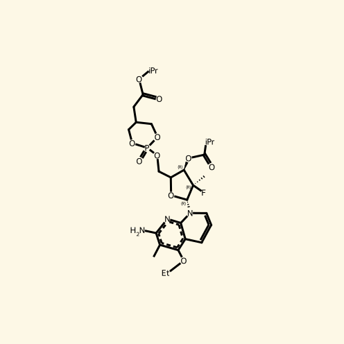 CCOc1c(C)c(N)nc2c1C=C=CN2[C@@H]1OC(COP2(=O)OCC(CC(=O)OC(C)C)CO2)[C@@H](OC(=O)C(C)C)[C@@]1(C)F